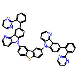 c1cnc(-c2ccccc2-c2ccc3c(c2)c2ncccc2n3-c2ccc3sc4ccc(-n5c6ccc(-c7ccccc7-c7ncccn7)cc6c6ncccc65)cc4c3c2)nc1